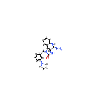 Nc1nc2ccccc2c2c1[nH]c(=O)n2Cc1cccc(N2CCCC2)c1